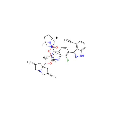 C#Cc1cccc2[nH]nc(-c3ccc4c(N5C[C@H]6CC[C@@H](C5)N6C(=O)OC(C)(C)C)nc(OCC56CC(=C)CN5CC(=C)C6)nc4c3F)c12